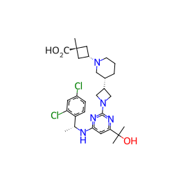 C[C@@H](Nc1cc(C(C)(C)O)nc(N2CC([C@H]3CCCN([C@H]4C[C@](C)(C(=O)O)C4)C3)C2)n1)c1ccc(Cl)cc1Cl